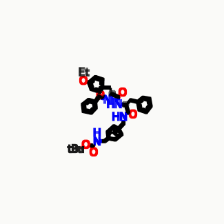 CCOc1ccc(C[C@@H](NC(=O)c2ccccc2)C(=O)N[C@@H](Cc2ccccc2)C(=O)NCC23CCC(CNC(=O)OC(C)(C)C)(CC2)CC3)cc1